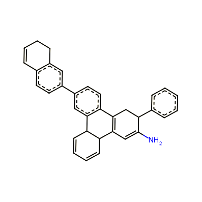 NC1=CC2=C(CC1c1ccccc1)c1ccc(-c3ccc4c(c3)CCC=C4)cc1C1C=CC=CC21